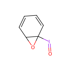 O=IC12C=CC=CC1O2